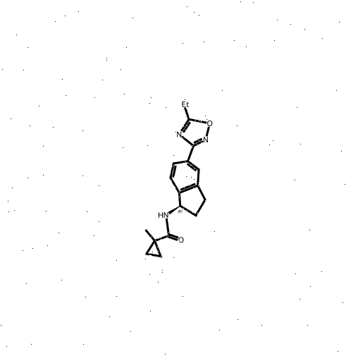 CCc1nc(-c2ccc3c(c2)CC[C@H]3NC(=O)C2(C)CC2)no1